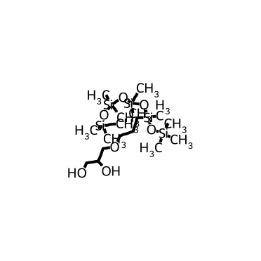 C[Si](C)(C)O[Si](C)(C)O[Si](C)(C)O[Si](C)(CCCOCC(O)CO)O[Si](C)(C)C